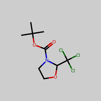 CC(C)(C)OC(=O)N1CCOC1C(Cl)(Cl)Cl